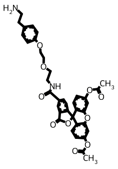 CC(=O)Oc1ccc2c(c1)Oc1cc(OC(C)=O)ccc1C21OC(=O)c2cc(C(=O)NCCOCCOc3ccc(CCN)cc3)ccc21